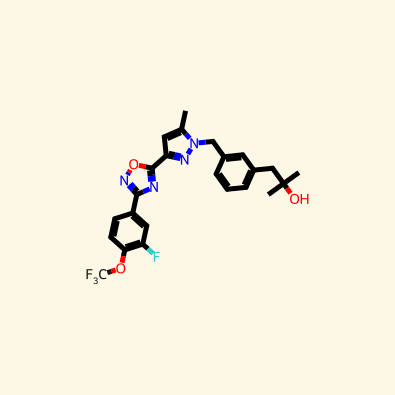 Cc1cc(-c2nc(-c3ccc(OC(F)(F)F)c(F)c3)no2)nn1Cc1cccc(CC(C)(C)O)c1